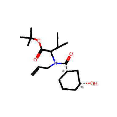 C=CCN(C(=O)[C@H]1CCC[C@@H](O)C1)C(C(=O)OC(C)(C)C)C(C)C